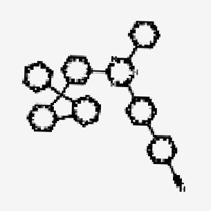 N#Cc1ccc(-c2ccc(-c3nc(-c4ccccc4)nc(-c4cccc(C5(c6ccccc6)c6ccccc6-c6ccccc65)c4)n3)cc2)cc1